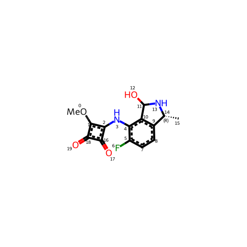 COc1c(Nc2c(F)ccc3c2C(O)N[C@@H]3C)c(=O)c1=O